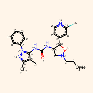 COCCN1C[C@@H](NC(=O)Nc2c(C)c(C(F)(F)F)nn2-c2ccccc2)[C@H](c2ccnc(F)c2)O1